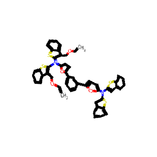 C=COCc1c(N(c2ccc(-c3cccc(-c4ccc(N(c5cc6ccccc6s5)c5cc6ccccc6s5)o4)c3)o2)c2sc3ccccc3c2COC=C)sc2ccccc12